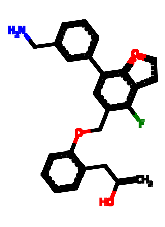 C=C(O)Cc1ccccc1OCc1cc(-c2cccc(CN)c2)c2occc2c1F